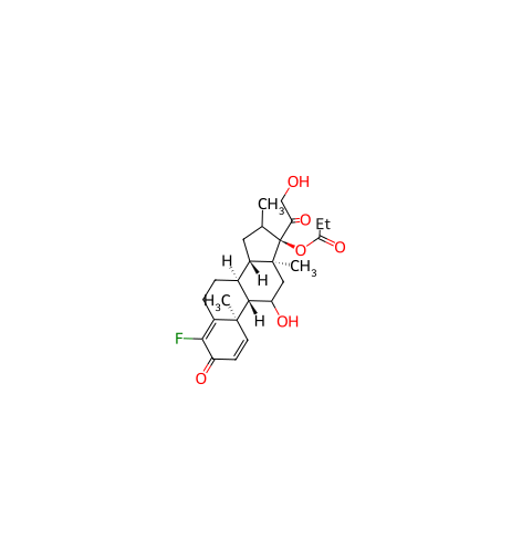 CCC(=O)O[C@]1(C(=O)CO)C(C)C[C@H]2[C@@H]3CCC4=C(F)C(=O)C=C[C@]4(C)[C@H]3C(O)C[C@@]21C